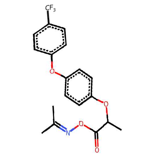 CC(C)=NOC(=O)C(C)Oc1ccc(Oc2ccc(C(F)(F)F)cc2)cc1